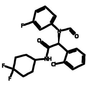 O=CN(c1cccc(F)c1)[C@H](C(=O)NC1CCC(F)(F)CC1)c1ccccc1Cl